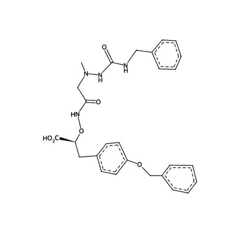 CN(CC(=O)NO[C@@H](Cc1ccc(OCc2ccccc2)cc1)C(=O)O)NC(=O)NCc1ccccc1